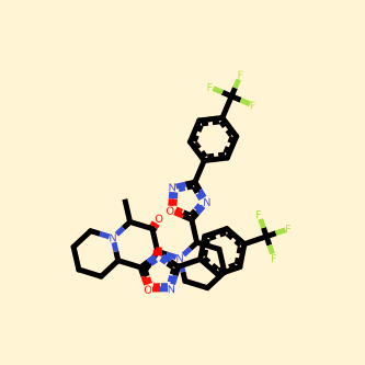 CC(C(=O)C(C)N1CCCCC1c1nc(-c2ccc(C(F)(F)F)cc2)no1)N1CCCCC1c1nc(-c2ccc(C(F)(F)F)cc2)no1